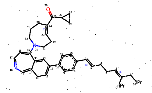 CCC/C(=C\CC/C=C/c1ccc(C2=CCC3=CN=CC=C(N4CC/C=C(\C(=O)C5CC5)CCC4)C3=C2)cc1)CC(C)C